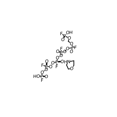 C1COCCN1.O=P(O)(F)OCOP(=O)(F)OOP(=O)(F)OOP(=O)(F)OOP(=O)(F)OOP(=O)(O)F